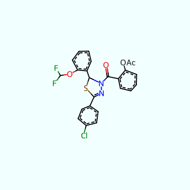 CC(=O)Oc1ccccc1C(=O)N1N=C(c2ccc(Cl)cc2)SC1c1ccccc1OC(F)F